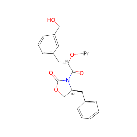 CC(C)O[C@@H](Cc1cccc(CO)c1)C(=O)N1C(=O)OC[C@@H]1Cc1ccccc1